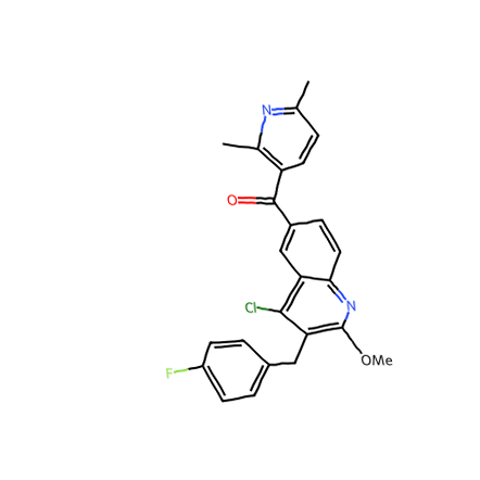 COc1nc2ccc(C(=O)c3ccc(C)nc3C)cc2c(Cl)c1Cc1ccc(F)cc1